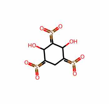 O=S(=O)=C1CC(=S(=O)=O)C(O)C(=S(=O)=O)C1O